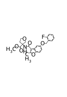 COC(=O)C1(NC(=O)c2c(C)oc3ccc(OCc4ccccc4F)cc23)CCOC1